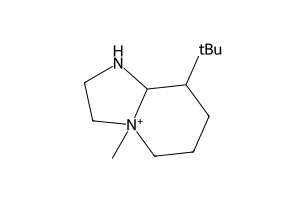 CC(C)(C)C1CCC[N+]2(C)CCNC12